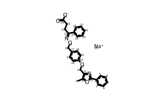 Cc1oc(-c2ccccc2)nc1COc1ccc(CON=C(CCC(=O)[O-])c2ccccc2)cc1.[Na+]